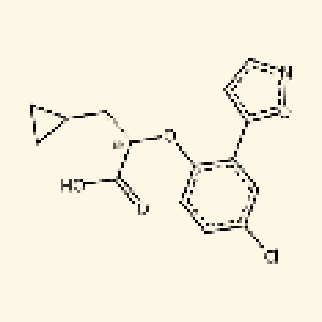 O=C(O)[C@H](CC1CC1)Oc1ccc(Cl)cc1-c1ccno1